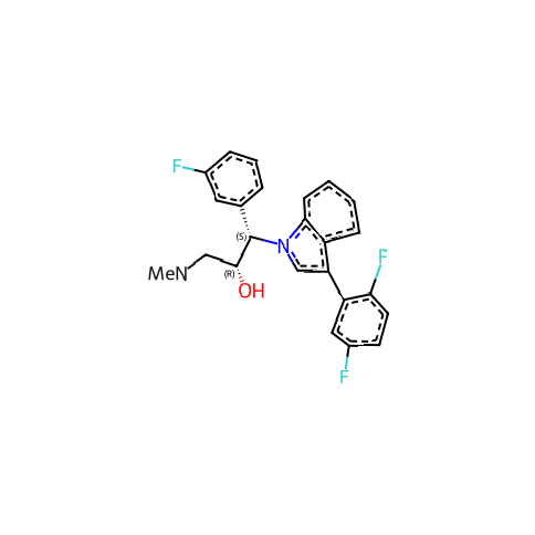 CNC[C@@H](O)[C@H](c1cccc(F)c1)n1cc(-c2cc(F)ccc2F)c2ccccc21